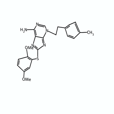 COc1ccc(OC)c(Sc2nc3c(N)ncn(CCc4ccc(C)cc4)c-3n2)c1